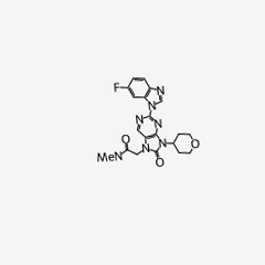 CNC(=O)Cn1c(=O)n(C2CCOCC2)c2nc(-n3cnc4ccc(F)cc43)ncc21